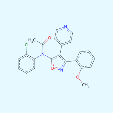 COc1ccccc1-c1noc(N(C(C)=O)c2ccccc2Cl)c1-c1ccncc1